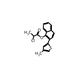 Cc1csc(-c2ccc3ccccc3c2OC(=O)C(C)Cl)c1